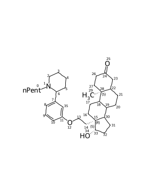 CCCCCN1CCCCC1c1cccc(OCC[C@]23CCC4C(CCC5CC(=O)CC[C@@]54C)C2CC[C@@H]3O)c1